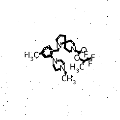 CCN1CCN(c2cc(C)ccc2CN2CCCC23CCN(C(=O)OC(C)C(F)(F)F)CC3)CC1